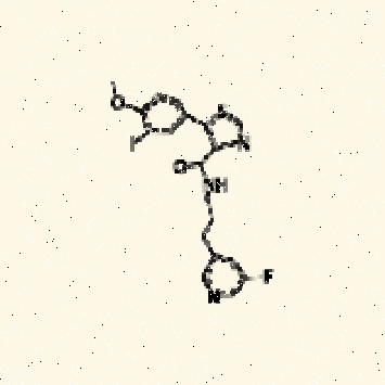 COc1ccc(-c2scnc2C(=O)NCCCc2cncc(F)c2)cc1I